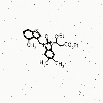 CCOC(=O)CC(OCC)n1c(=O)n(Cc2csc3cccc(C)c23)c2cc(C)c(C)cc21